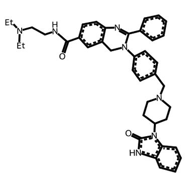 CCN(CC)CCNC(=O)c1ccc2c(c1)CN(c1ccc(CN3CCC(n4c(=O)[nH]c5ccccc54)CC3)cc1)C(c1ccccc1)=N2